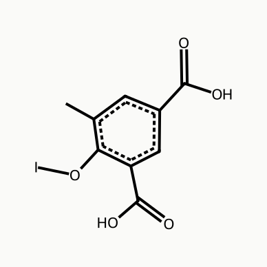 Cc1cc(C(=O)O)cc(C(=O)O)c1OI